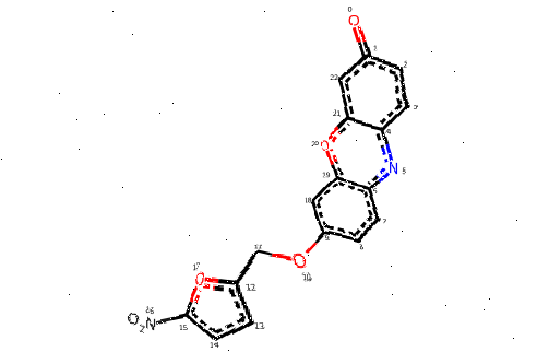 O=c1ccc2nc3ccc(OCc4ccc([N+](=O)[O-])o4)cc3oc-2c1